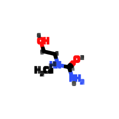 NC(=O)NCCO.[CaH2]